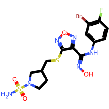 NS(=O)(=O)N1CCC(CSc2nonc2/C(=N/O)Nc2ccc(F)c(Br)c2)C1